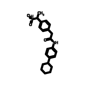 CC(c1ccc(CC(=O)Nc2ccc(C3CCCCC3)cc2)cc1)[SH](=O)=O